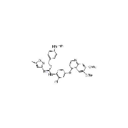 COc1cc2nccc(Oc3ccc(N/C(=N/c4cc(C)on4)SCc4ccc(NC(C)C)cc4)c(Cl)c3)c2cc1OC